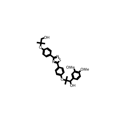 COc1ccc(C(O)C(C)(C)Oc2ccc(-c3nc(-c4ccc(OC(C)(C)CO)cc4)ns3)cc2)cc1OC